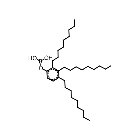 CCCCCCCCCc1ccc(OB(O)O)c(CCCCCCCCC)c1CCCCCCCCC